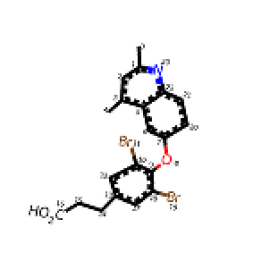 Cc1cc(C)c2cc(Oc3c(Br)cc(CCC(=O)O)cc3Br)ccc2n1